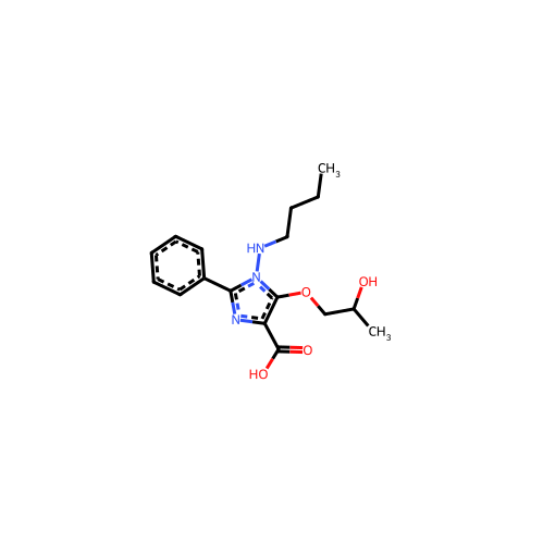 CCCCNn1c(-c2ccccc2)nc(C(=O)O)c1OCC(C)O